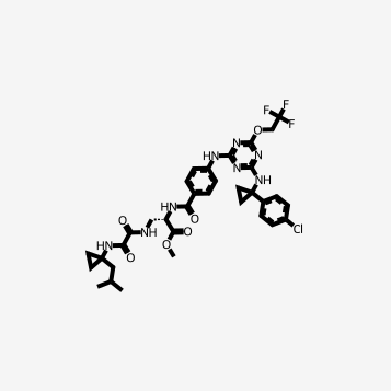 COC(=O)[C@H](CNC(=O)C(=O)NC1(CC(C)C)CC1)NC(=O)c1ccc(Nc2nc(NC3(c4ccc(Cl)cc4)CC3)nc(OCC(F)(F)F)n2)cc1